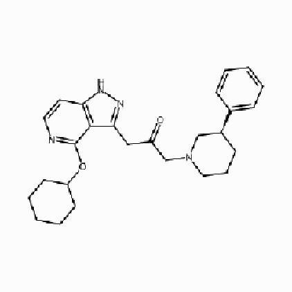 O=C(Cc1n[nH]c2ccnc(OC3CCCCC3)c12)CN1CCC[C@H](c2ccccc2)C1